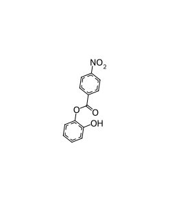 O=C(Oc1ccccc1O)c1ccc([N+](=O)[O-])cc1